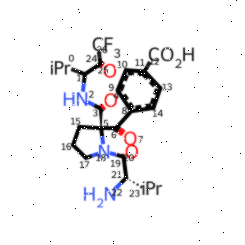 CC(C)C(NC(=O)[C@]1(C(=O)c2ccc(C(=O)O)cc2)CCCN1C(=O)[C@@H](N)C(C)C)C(=O)C(F)(F)F